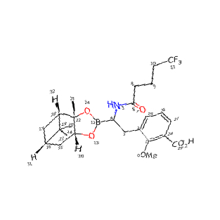 COc1c(CC(NC(=O)CCCC(F)(F)F)B2O[C@@H]3C[C@@H]4C[C@@H](C4(C)C)[C@]3(C)O2)cccc1C(=O)O